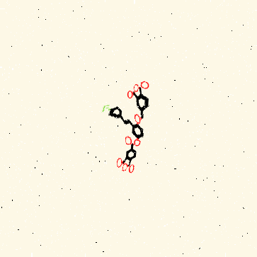 O=C(Oc1ccc(OCc2ccc3c(c2)C(=O)OC3=O)c(C=Cc2ccc(F)cc2)c1)c1ccc2c(c1)C(=O)OC2=O